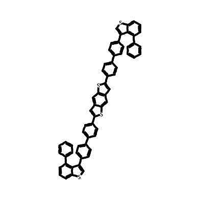 c1ccc(-c2cccc3scc(-c4ccc(-c5ccc(-c6cc7cc8sc(-c9ccc(-c%10ccc(-c%11csc%12cccc(-c%13ccccc%13)c%11%12)cc%10)cc9)cc8cc7s6)cc5)cc4)c23)cc1